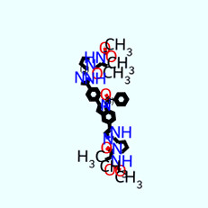 COC(=O)NC(C(=O)N1CCCC1c1ncc(-c2ccc3c(c2)cc2n3[C@H](c3ccccc3)Oc3cc(-c4cnc([C@@H]5CCCN5C(=O)C(NC(=O)OC)C(C)C)[nH]4)ccc3-2)[nH]1)C(C)C